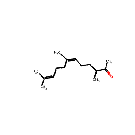 CC(=O)C(C)CCC=C(C)CCC=C(C)C